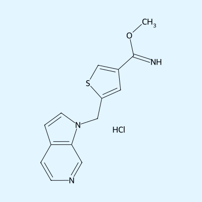 COC(=N)c1csc(Cn2ccc3ccncc32)c1.Cl